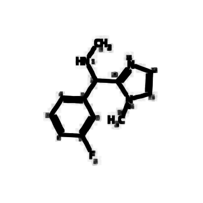 CNC(c1cccc(F)c1)c1nccn1C